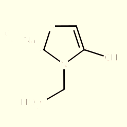 CC1=CSCN1CC(=O)O.[Cl-].[Na+]